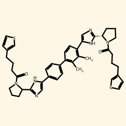 Cc1c(-c2ccc(-c3cnc(C4CCCN4C(=O)C[CH]Cc4ccsc4)[nH]3)cc2)ccc(-c2cnc([C@@H]3CCCN3C(=O)C[CH]Cc3ccsc3)[nH]2)c1C